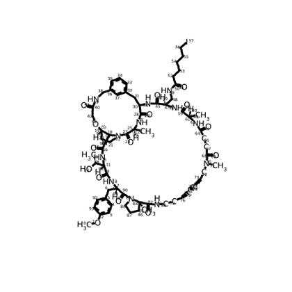 COc1ccc(C[C@@H]2NC(=O)[C@H]([C@@H](C)O)NC(=O)[C@@H]3[C@@H]4CCN3C(=O)[C@H](C)NC(=O)C(Cc3cccc(c3)CNC(=O)CO4)NC(=O)[C@@H](CNC(=O)CCCCCI)NC(=O)[C@H](C)NC(=O)CCC(=O)N(C)Cc3ccc(cc3)CCNC(=O)[C@]3(C)CCCN3C2=O)cc1